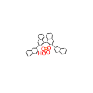 O=P1(O)Oc2c(-c3ccc4ccccc4c3)cc3ccccc3c2-c2c(c(-c3ccc4ccccc4c3)cc3ccccc23)O1